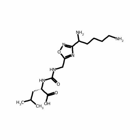 CC(C)C[C@H](NC(=O)NCc1nc(C(N)CCCCN)no1)C(=O)O